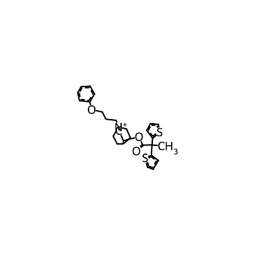 CC(C(=O)OC1C[N+]2(CCCOc3ccccc3)CCC1CC2)(c1cccs1)c1cccs1